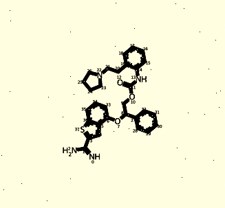 N=C(N)c1cc2c(OC(COC(=O)Nc3ccccc3CCN3CCCC3)c3ccccc3)cccc2s1